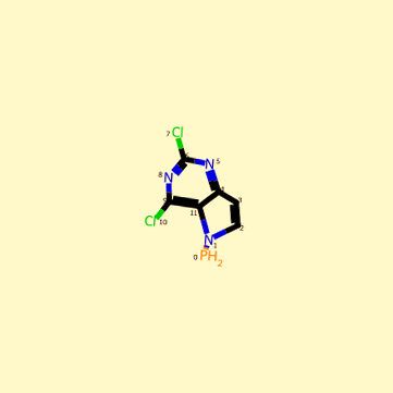 Pn1ccc2nc(Cl)nc(Cl)c21